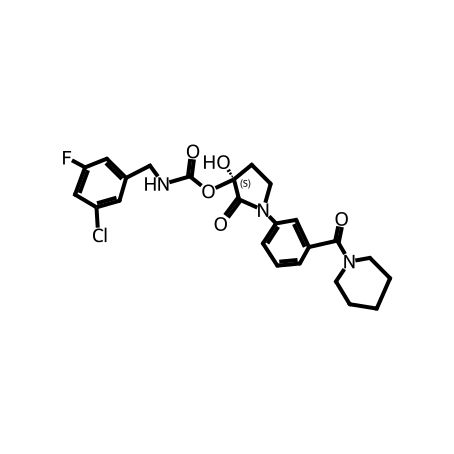 O=C(NCc1cc(F)cc(Cl)c1)O[C@@]1(O)CCN(c2cccc(C(=O)N3CCCCC3)c2)C1=O